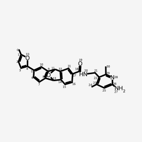 Cc1ccc(-c2ccc3c(c2)C2OC3c3ccc(C(=O)NCc4c(C)cc(N)nc4C)cc32)o1